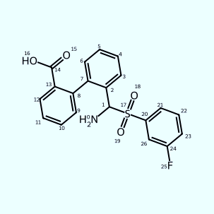 NC(c1ccccc1-c1ccccc1C(=O)O)S(=O)(=O)c1cccc(F)c1